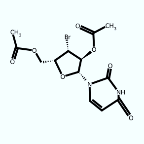 CC(=O)OC[C@H]1O[C@@H](n2ccc(=O)[nH]c2=O)[C@H](OC(C)=O)[C@H]1Br